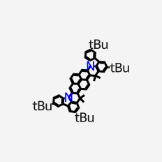 CC(C)(C)c1ccc2c(c1)c1cc(C(C)(C)C)cc3c1n2-c1cc2ccc4cc5c(c6ccc(c1C3(C)C)c2c46)C(C)(C)c1cc(C(C)(C)C)cc2c3cc(C(C)(C)C)ccc3n-5c12